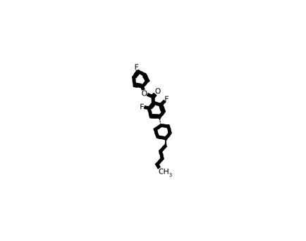 CCCCC[C@H]1CC[C@H](c2cc(F)c(C(=O)Oc3ccc(F)cc3)c(F)c2)CC1